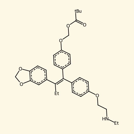 CCNCCOc1ccc(C(=C(CC)c2ccc3c(c2)OCO3)c2ccc(OCOC(=O)C(C)(C)C)cc2)cc1